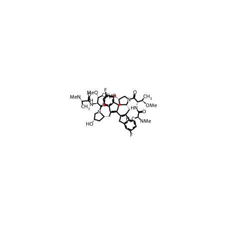 CN[C@@H](C)C(=O)N[C@H](C(=O)N1C[C@@H](O)C[C@H]1CC1=C(C2=C(C[C@@H]3C[C@H](O)CN3C(=O)[C@@H](NC(=O)[C@H](C)NC)[C@@H](C)OC)c3ccc(F)cc3C2)Cc2cc(F)ccc21)[C@@H](C)OC